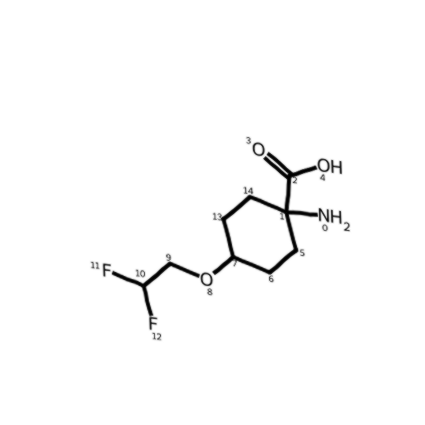 NC1(C(=O)O)CCC(OCC(F)F)CC1